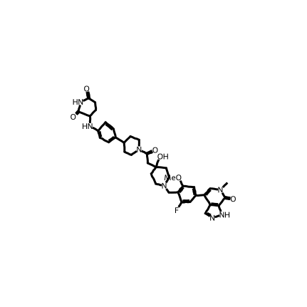 COc1cc(-c2cn(C)c(=O)c3[nH]ncc23)cc(F)c1CN1CCC(O)(CC(=O)N2CCC(c3ccc(NC4CCC(=O)NC4=O)cc3)CC2)CC1